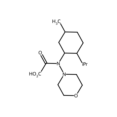 CC1CCC(C(C)C)C(N(C(=O)C(=O)O)N2CCOCC2)C1